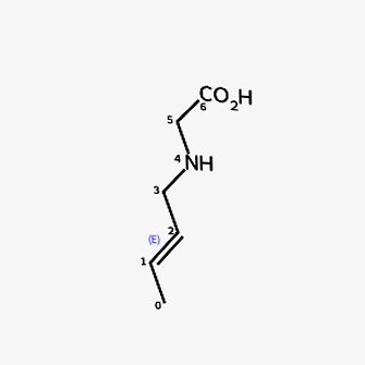 C/C=C/CNCC(=O)O